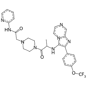 CC(Nc1c(-c2ccc(OC(F)(F)F)cc2)nc2cnccn12)C(=O)N1CCN(CC(=O)Nc2ccccn2)CC1